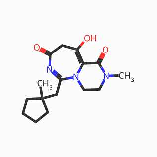 CN1CCN2C(CC3(C)CCCC3)=NC(=O)CC(O)=C2C1=O